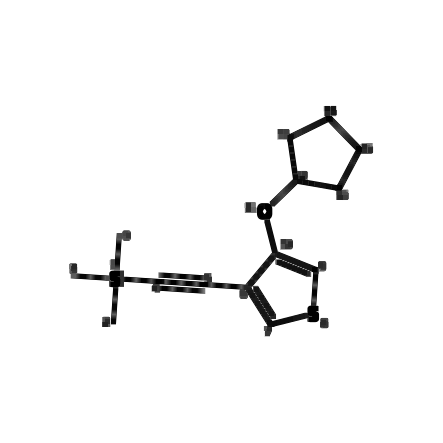 C[Si](C)(C)C#Cc1cscc1OC1CCCC1